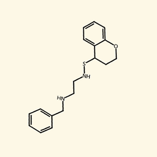 c1ccc(CNCCNSC2CCOc3ccccc32)cc1